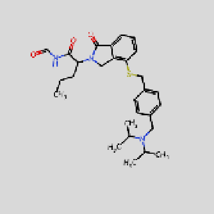 CCCC(C(=O)NC=O)N1Cc2c(SCc3ccc(CN(C(C)C)C(C)C)cc3)cccc2C1=O